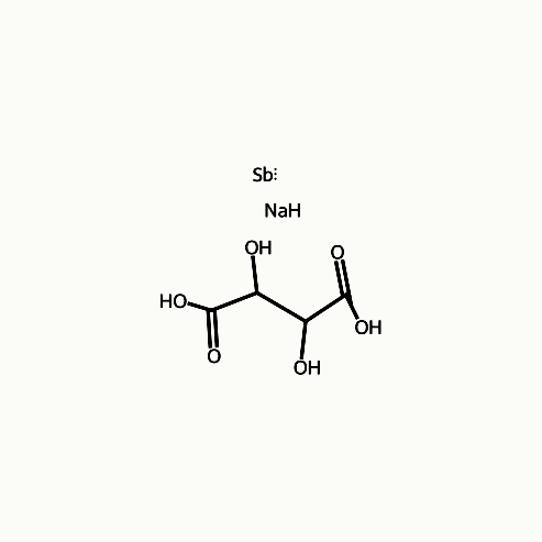 O=C(O)C(O)C(O)C(=O)O.[NaH].[Sb]